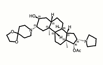 CC(=O)O[C@H]1[C@@H](N2CCCC2)C[C@H]2[C@@H]3CC[C@H]4C[C@H](O)[C@@H](N5CCC6(CC5)OCCO6)C[C@]4(C)[C@H]3CC[C@@]21C